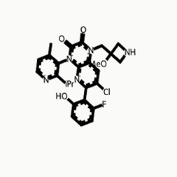 COC1(Cn2c(=O)c(=O)n(-c3c(C)ccnc3C(C)C)c3nc(-c4c(O)cccc4F)c(Cl)cc32)CNC1